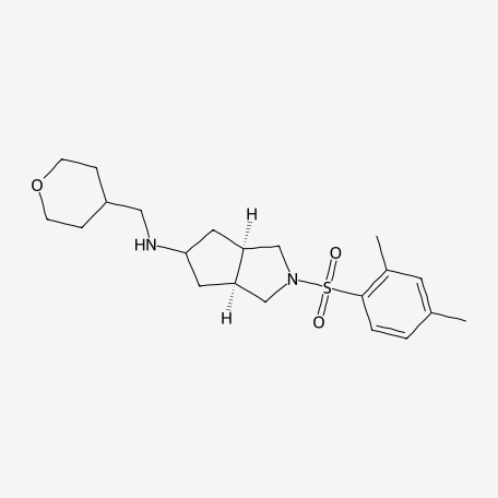 Cc1ccc(S(=O)(=O)N2C[C@H]3CC(NCC4CCOCC4)C[C@H]3C2)c(C)c1